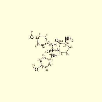 COc1ccc(NP(=O)(Nc2ccc(OC)cc2)N2CCC[C@H](N)C2=O)cc1